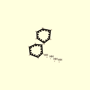 [HH].[HH].[HH].[HH].c1ccccc1.c1ccccc1